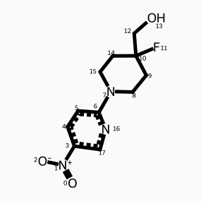 O=[N+]([O-])c1ccc(N2CCC(F)(CO)CC2)nc1